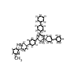 Cc1cccc(C2N=CC(c3ccc(C4=NC(c5ccc(-c6ccccc6)cc5)=NC5(C6C=CC(c7ccccc7)=CC6)CC45)cc3)CN2)n1